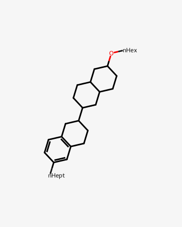 CCCCCCCc1ccc2c(c1)CCC(C1CCC3CC(OCCCCCC)CCC3C1)C2